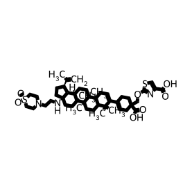 C=C(C)[C@@H]1CC[C@]2(NCCN3CCS(=O)(=O)CC3)CC[C@]3(C)[C@H](CCC4[C@@]5(C)CC=C(C6=CCC(COc7nc(C(=O)O)cs7)(C(=O)O)CC6)C(C)(C)C5CC[C@]43C)C12